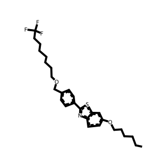 CCCCCCOc1ccc2nc(-c3ccc(COCCCCCCCC(F)(F)F)cc3)sc2c1